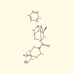 C[C@]12CC3CC(C(=O)N4CCC(N)(CO)CC4)(C1)C[C@@](c1ccccc1)(C3)C2